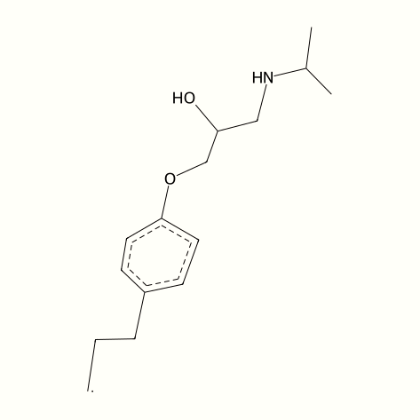 [CH2]CCc1ccc(OCC(O)CNC(C)C)cc1